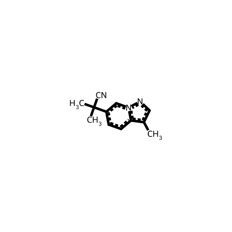 Cc1cnn2cc(C(C)(C)C#N)ccc12